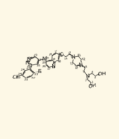 OCCN(CCO)CCN1CCN(CCOc2ccc3c(Nc4cnnc(-c5cc(Cl)ccc5F)c4)ccnc3c2)CC1